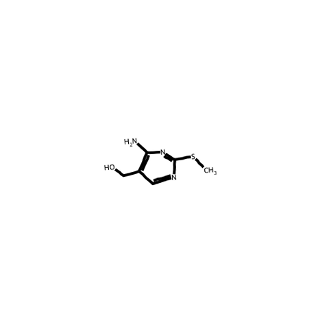 CSc1ncc(CO)c(N)n1